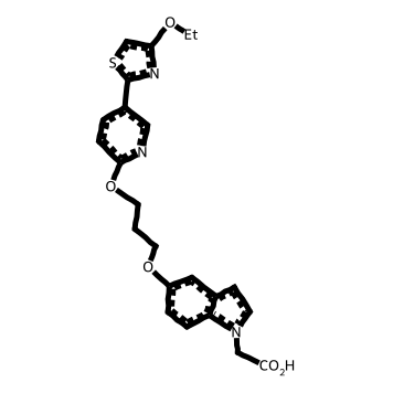 CCOc1csc(-c2ccc(OCCCOc3ccc4c(ccn4CC(=O)O)c3)nc2)n1